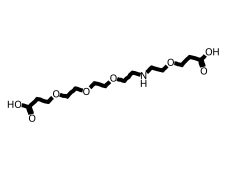 O=C(O)CCOCCNCCOCCOCCOCCC(=O)O